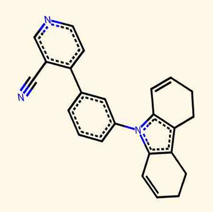 N#Cc1cnccc1-c1cccc(-n2c3c(c4c2C=CCC4)CCC=C3)c1